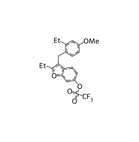 CCc1cc(OC)ccc1Cc1c(CC)oc2cc(OS(=O)(=O)C(F)(F)F)ccc12